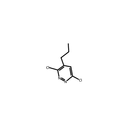 CCCc1cc(Cl)nnc1Cl